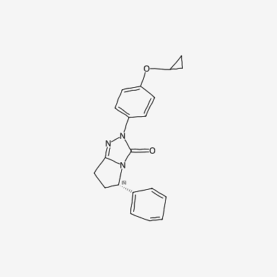 O=c1n(-c2ccc(OC3CC3)cc2)nc2n1[C@H](c1ccccc1)CC2